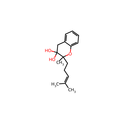 CC(C)=CCCC1(C)Oc2ccccc2CC1(O)O